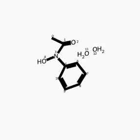 CC(=O)N(O)c1ccccc1.O.O